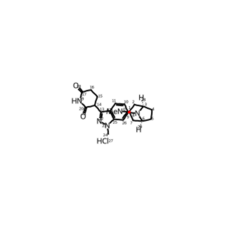 CNC1C[C@H]2CC[C@@H](C1)N2c1ccc2c(C3CCC(=O)NC3=O)nn(C)c2c1.Cl